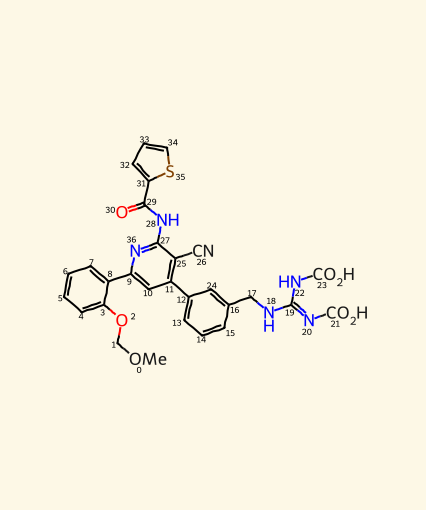 COCOc1ccccc1-c1cc(-c2cccc(CNC(=NC(=O)O)NC(=O)O)c2)c(C#N)c(NC(=O)c2cccs2)n1